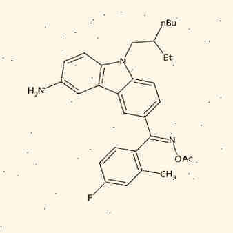 CCCCC(CC)Cn1c2ccc(N)cc2c2cc(/C(=N/OC(C)=O)c3ccc(F)cc3C)ccc21